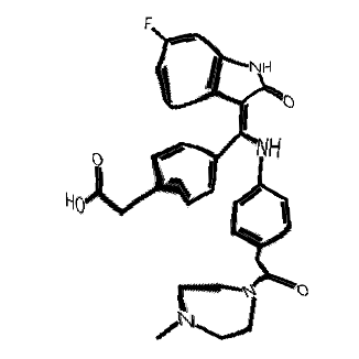 CN1CCN(C(=O)c2ccc(N/C(=C3\C(=O)Nc4cc(F)ccc43)c3ccc(CC(=O)O)cc3)cc2)CC1